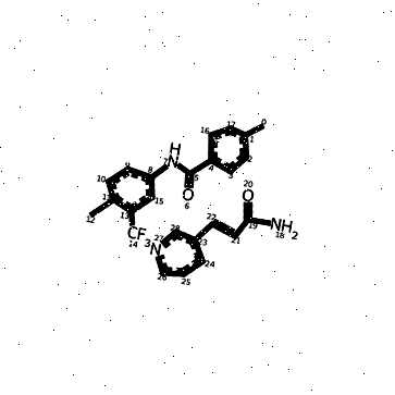 Cc1ccc(C(=O)Nc2ccc(C)c(C(F)(F)F)c2)cc1.NC(=O)C=Cc1cccnc1